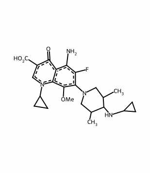 COc1c(N2CC(C)C(NC3CC3)C(C)C2)c(F)c(N)c2c(=O)c(C(=O)O)cn(C3CC3)c12